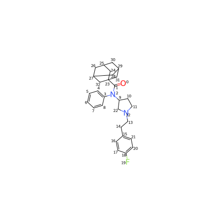 O=C(N(c1ccccc1)C1CCN(CCc2ccc(F)cc2)C1)C12CC3CC(CC(C3)C1)C2